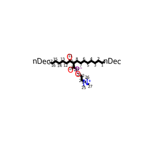 CCCCCCCCCCCCCCCCCCC(C(=O)CCCCCCCCCCCCCCC)C(=O)[P-]OCC[N+](C)(C)C